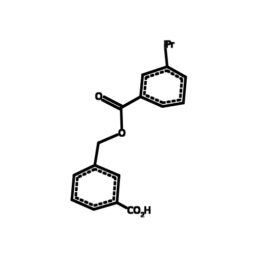 CC(C)c1cccc(C(=O)OCc2cccc(C(=O)O)c2)c1